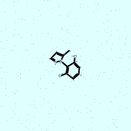 Cc1[c]cnn1-c1c(Cl)cccc1Cl